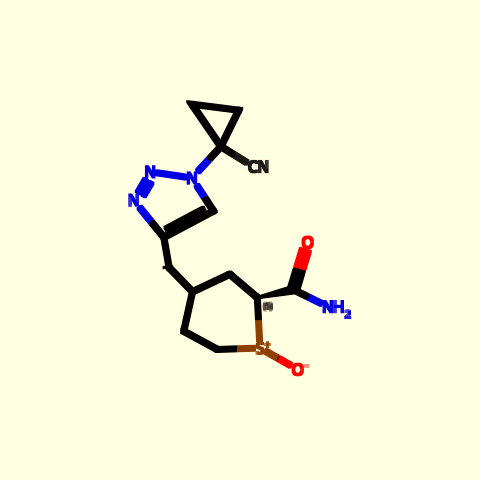 N#CC1(n2cc([CH]C3CC[S+]([O-])[C@H](C(N)=O)C3)nn2)CC1